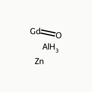 [AlH3].[O]=[Gd].[Zn]